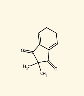 CC1(C)C(=O)C2=CCCC=C2C1=O